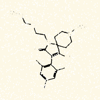 COCOCCN1C(=O)C(c2c(C)cc(C)cc2C)=C(O)C12CCN(OC)CC2